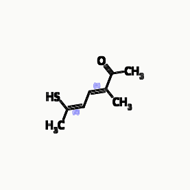 CC(=O)/C(C)=C/C=C(/C)S